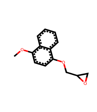 COc1ccc(OCC2CO2)c2ccccc12